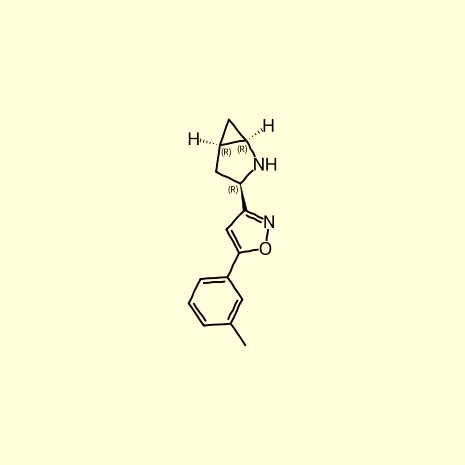 Cc1cccc(-c2cc([C@H]3C[C@H]4C[C@H]4N3)no2)c1